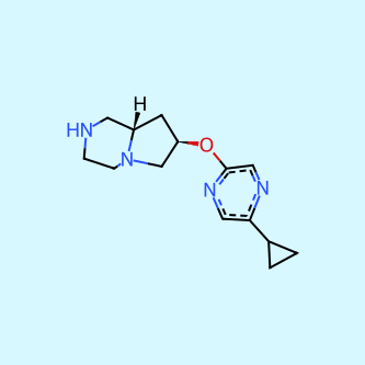 c1nc(C2CC2)cnc1O[C@@H]1C[C@H]2CNCCN2C1